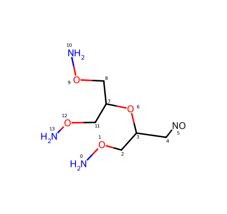 NOCC(CN=O)OC(CON)CON